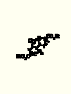 CCOC(=O)N1[C+]=CC(=C2C=CN(C(=O)OCC)[C+]=C2C)C=C1.[Cl-].[Cl-]